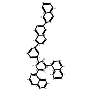 c1cc(-c2ccc3cc(-c4ccc5ccccc5c4)ccc3c2)cc(-c2nc(-c3cccc4ccccc34)nc(-c3cccc4ccccc34)n2)c1